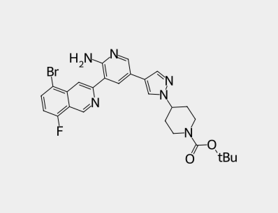 CC(C)(C)OC(=O)N1CCC(n2cc(-c3cnc(N)c(-c4cc5c(Br)ccc(F)c5cn4)c3)cn2)CC1